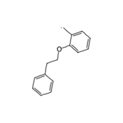 [CH2]c1ccccc1OCCc1ccccc1